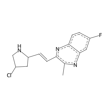 Cc1nc2cc(F)ccc2nc1C=CC1CC(Cl)CN1